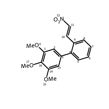 COc1cc(-c2ccccc2C=C[N+](=O)[O-])cc(OC)c1OC